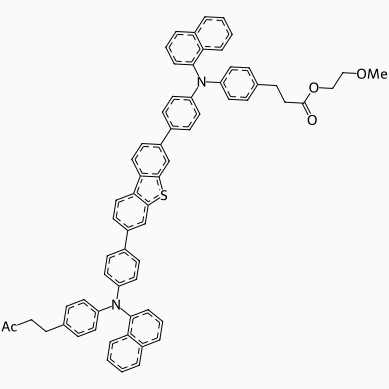 COCCOC(=O)CCc1ccc(N(c2ccc(-c3ccc4c(c3)sc3cc(-c5ccc(N(c6ccc(CCC(C)=O)cc6)c6cccc7ccccc67)cc5)ccc34)cc2)c2cccc3ccccc23)cc1